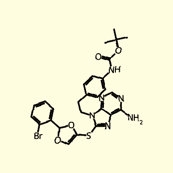 CC(C)(C)OC(=O)Nc1ccc(CCn2c(SC3=COC(c4ccccc4Br)O3)nc3c(N)ncnc32)cc1